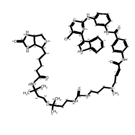 CN(C/C=C/C(=O)Nc1ccc(C(=O)Nc2cccc(Nc3ncc(Cl)c(-c4c[nH]c5ccccc45)n3)c2)cc1)CCCNC(=O)NCCC(C)(C)OCCC(C)(C)NC(=O)CCCCC1SCC2NC(=O)NC21